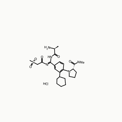 CNC(=O)[C@@H]1CCCN1c1ccc(C(=NC(=O)CS(C)(=O)=O)NC(=O)[C@H](C)N)cc1C1CCCCC1.Cl